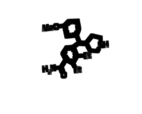 CCc1c(C(N)=O)ccc(C(=C2CCNCC2)c2cccc(OC)c2)c1CC